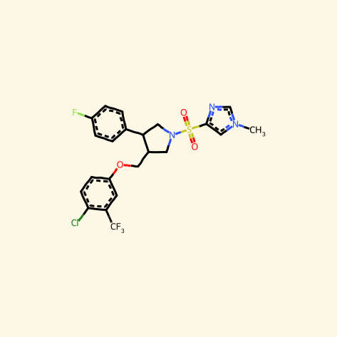 Cn1cnc(S(=O)(=O)N2CC(COc3ccc(Cl)c(C(F)(F)F)c3)C(c3ccc(F)cc3)C2)c1